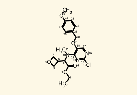 CCOC(=O)C(C1COC1)N(C)c1nc(Cl)ncc1OCc1ccc(OC)cc1